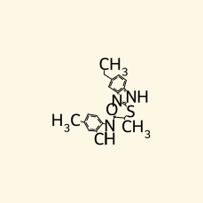 CCc1ccc2[nH]c(SC(C)C(=O)Nc3ccc(C)cc3Cl)nc2c1